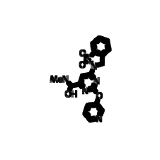 CNC(O)c1cc(N2Cc3ccccc3S2(=O)=O)nc(Oc2cccnc2)n1